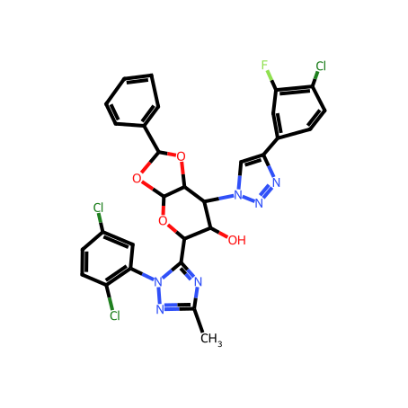 Cc1nc(C2OC3OC(c4ccccc4)OC3C(n3cc(-c4ccc(Cl)c(F)c4)nn3)C2O)n(-c2cc(Cl)ccc2Cl)n1